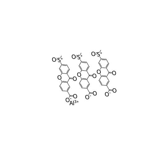 C[S+]([O-])c1ccc2c(=O)c3cc(C(=O)[O-])ccc3oc2c1.C[S+]([O-])c1ccc2c(=O)c3cc(C(=O)[O-])ccc3oc2c1.C[S+]([O-])c1ccc2c(=O)c3cc(C(=O)[O-])ccc3oc2c1.[Al+3]